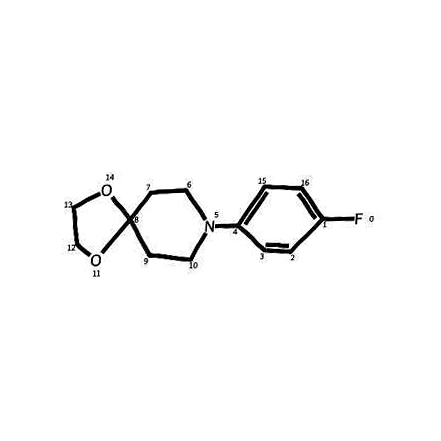 Fc1ccc(N2CCC3(CC2)OCCO3)cc1